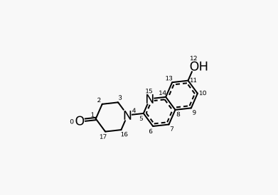 O=C1CCN(c2ccc3ccc(O)cc3n2)CC1